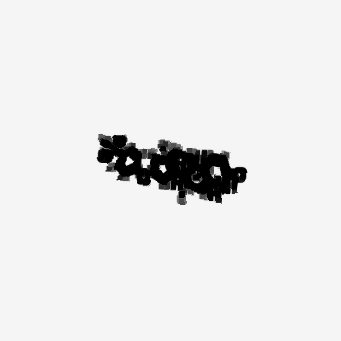 C[C@H]1C[C@H]2NC(=O)C=C[C@]2(C)[C@H]2CC[C@]3(C)C[C@@H](Oc4ccc(S(C)(=O)=O)cc4)C[C@H]3[C@H]12